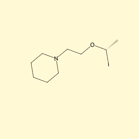 C[C@H](I)OCCN1CCCCC1